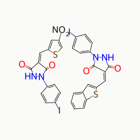 O=C1NN(c2ccc(I)cc2)C(=O)/C1=C\c1cc([N+](=O)[O-])cs1.O=C1NN(c2ccc(I)cc2)C(=O)/C1=C\c1cc2ccccc2s1